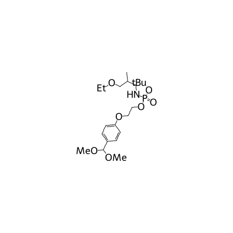 CCOCC(C)CNP(=O)(OCCOc1ccc(C(OC)OC)cc1)OC(C)(C)C